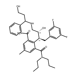 CCCN(CCC)C(=O)c1cc(C)cc(C(N)=O)c1[C@H](Cc1cc(F)cc(F)c1)[C@@H](O)CNC(CCO)c1ccccc1